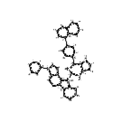 c1ccc(-n2ccc3c2ccc2c4ccccc4n(-c4nc(-c5ccc(-c6cccc7ccccc67)cc5)c5sccc5n4)c23)cc1